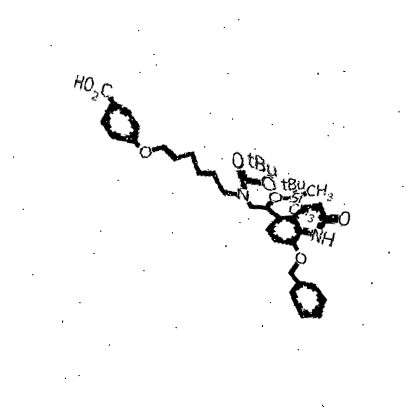 CC(C)(C)OC(=O)N(CCCCCCOc1ccc(C(=O)O)cc1)CC(O[Si](C)(C)C(C)(C)C)c1ccc(OCc2ccccc2)c2[nH]c(=O)ccc12